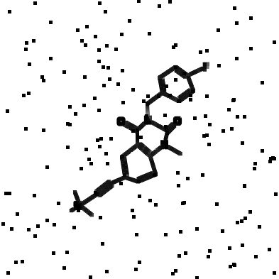 Cn1c(=O)n(Cc2ccc(F)cc2)c(=O)c2cc(C#C[Si](C)(C)C)ccc21